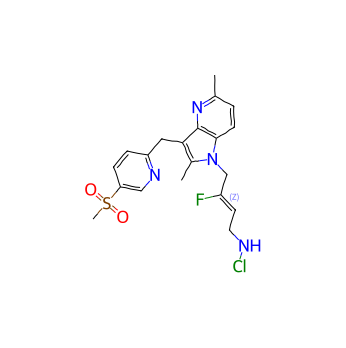 Cc1ccc2c(n1)c(Cc1ccc(S(C)(=O)=O)cn1)c(C)n2C/C(F)=C/CNCl